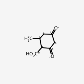 CC1CC(=O)CC(=O)C1C(=O)O